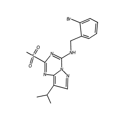 CC(C)c1cnn2c(NCc3ccccc3Br)nc(S(C)(=O)=O)nc12